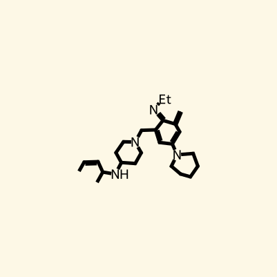 C=C1C=C(N2CCCCC2)C=C(CN2CCC(NC(C)/C=C\C)CC2)/C1=N/CC